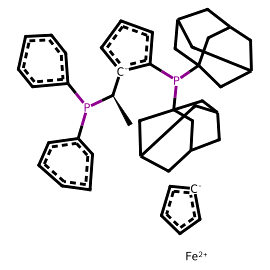 C[C@H]([c-]1cccc1P(C12CC3CC(CC(C3)C1)C2)C12CC3CC(CC(C3)C1)C2)P(c1ccccc1)c1ccccc1.[Fe+2].c1cc[cH-]c1